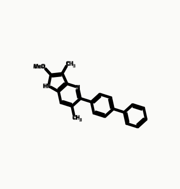 COc1[nH]c2cc(C)c(-c3ccc(-c4ccccc4)cc3)nc2c1C